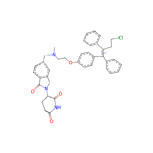 CN(CCOc1ccc(/C(=C(/CCCl)c2ccccc2)c2ccccc2)cc1)Cc1ccc2c(c1)CN(C1CCC(=O)NC1=O)C2=O